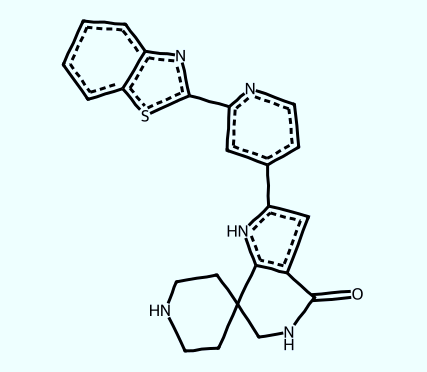 O=C1NCC2(CCNCC2)c2[nH]c(-c3ccnc(-c4nc5ccccc5s4)c3)cc21